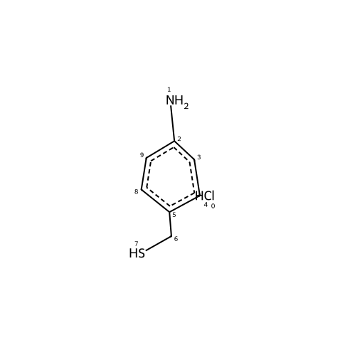 Cl.Nc1ccc(CS)cc1